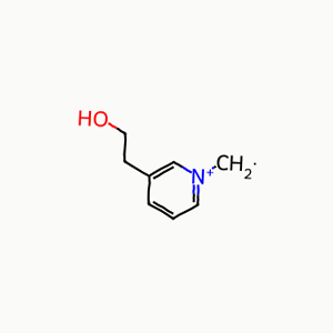 [CH2][n+]1cccc(CCO)c1